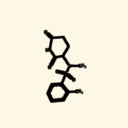 Cc1ccccc1S(=O)(=O)N(C)C1CCC(=O)NC1=O